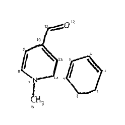 C1=CCCC=C1.CN1C=CC(C=O)=CC1